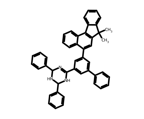 CC1(C)c2ccccc2-c2c1cc(-c1cc(C3=NC(c4ccccc4)NC(c4ccccc4)N3)cc(-c3ccccc3)c1)c1ccccc21